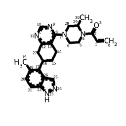 C=CC(=O)N1CCN(c2ncnc3c2CCC(c2c(C)ccc4[nH]ncc24)C3)CC1C